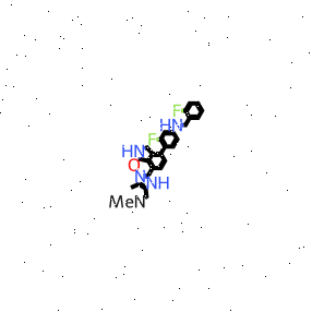 CNCc1[nH]c(-c2ccc(-c3ccc(NCc4ccccc4F)cc3F)c3c2C(=O)NC3)nc1C